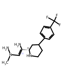 CN(N)/C=C(\N)[C@@H]1CC(c2ccc(C(F)(F)F)cc2)CCN1